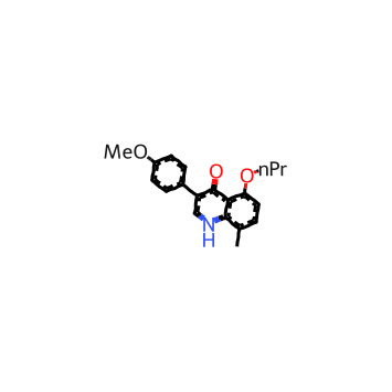 CCCOc1ccc(C)c2[nH]cc(-c3ccc(OC)cc3)c(=O)c12